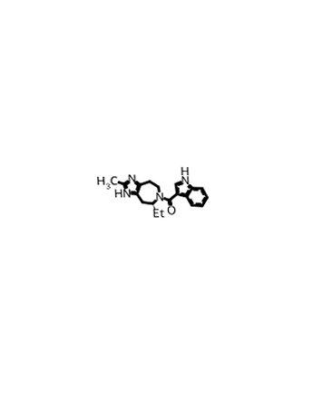 CC[C@@H]1Cc2[nH]c(C)nc2CCN1C(=O)c1c[nH]c2ccccc12